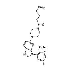 COCCOC(=O)N1CCN(c2ccn3ncc(-c4cc(F)cnc4OC)c3n2)CC1